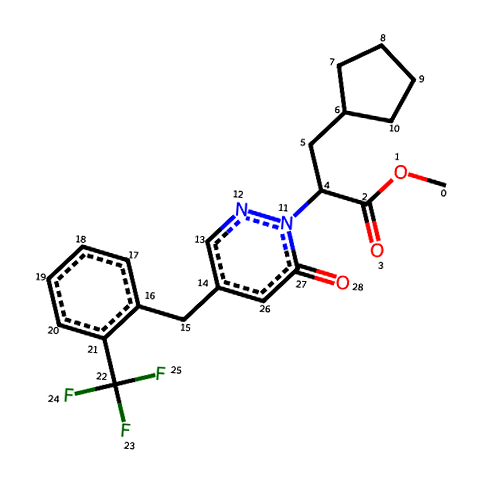 COC(=O)C(CC1CCCC1)n1ncc(Cc2ccccc2C(F)(F)F)cc1=O